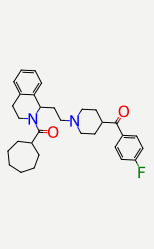 O=C(c1ccc(F)cc1)C1CCN(CCC2c3ccccc3CCN2C(=O)C2CCCCCC2)CC1